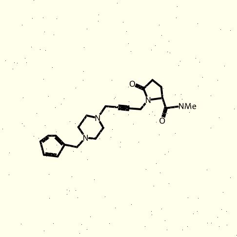 CNC(=O)C1CCC(=O)N1CC#CCN1CCN(Cc2ccccc2)CC1